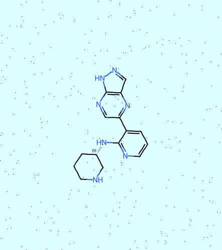 c1cnc(N[C@H]2CCCNC2)c(-c2cnc3[nH]ncc3n2)c1